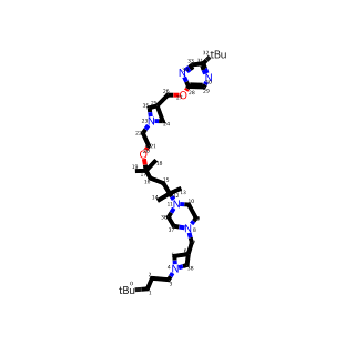 CC(C)(C)CCCN1CC(CN2CCN(C(C)(C)CCC(C)(C)OCCN3CC(COc4cnc(C(C)(C)C)cn4)C3)CC2)C1